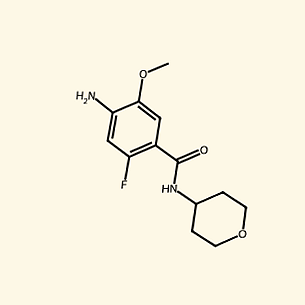 COc1cc(C(=O)NC2CCOCC2)c(F)cc1N